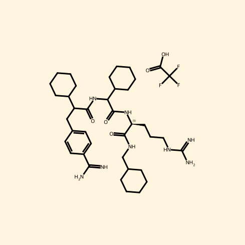 N=C(N)NCCC[C@H](NC(=O)C(NC(=O)C(Cc1ccc(C(=N)N)cc1)C1CCCCC1)C1CCCCC1)C(=O)NCC1CCCCC1.O=C(O)C(F)(F)F